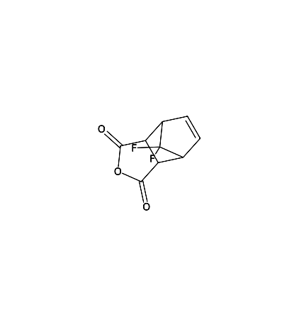 O=C1OC(=O)C2C1C1C=CC2C1(F)F